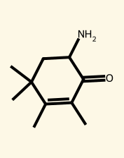 CC1=C(C)C(C)(C)CC(N)C1=O